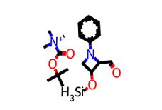 CC(C)(C)OC(=O)[N+](C)(C)C.O=CC1C(O[SiH3])CN1c1ccccc1